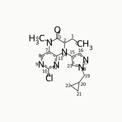 CCC1C(=O)N(C)c2cnc(Cl)nc2N1c1cnn(CC2CC2)c1